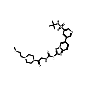 COCCN1CCN(C(=O)CNC(=O)Nc2nc3ccc(-c4cncc(S(=O)(=O)NC(C)(C)C)c4)cn3n2)CC1